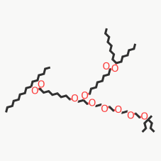 CCCCCCCCC(CCCCCC)OC(=O)CCCCCCCOCC(COCCOCCOCCOCCOC(C)(CCC)CCC)OCCCCCCCC(=O)OC(CCCCCC)CCCCCCCC